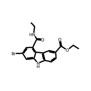 CCNC(=O)c1cc(Br)cc2[nH]c3ccc(C(=O)OCC)cc3c12